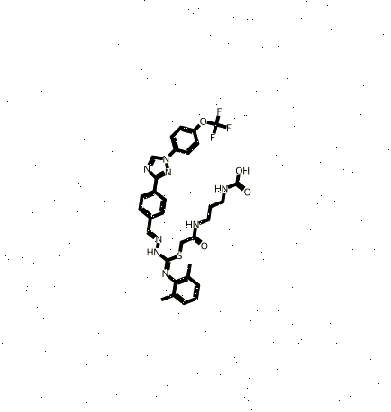 Cc1cccc(C)c1/N=C(/N/N=C/c1ccc(-c2ncn(-c3ccc(OC(F)(F)F)cc3)n2)cc1)SCC(=O)NCCCNC(=O)O